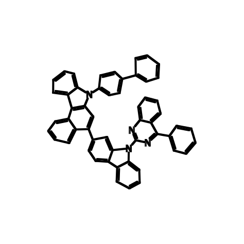 c1ccc(-c2ccc(-n3c4ccccc4c4c5ccccc5c(-c5ccc6c7ccccc7n(-c7nc(-c8ccccc8)c8ccccc8n7)c6c5)cc43)cc2)cc1